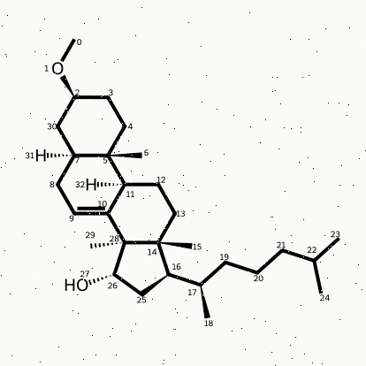 CO[C@H]1CC[C@@]2(C)[C@@H](CC=C3[C@@H]2CC[C@]2(C)[C@@H]([C@H](C)CCCC(C)C)C[C@H](O)[C@@]32C)C1